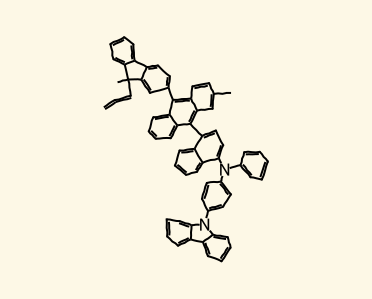 C=C=CC1(C)c2ccccc2-c2ccc(-c3c4ccccc4c(-c4ccc(N(c5ccccc5)c5ccc(-n6c7ccccc7c7ccccc76)cc5)c5ccccc45)c4cc(C)ccc34)cc21